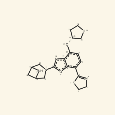 c1cc(C2=NCCS2)c2oc(N3CC4CC(C3)N4)nc2c1O[C@@H]1CCOC1